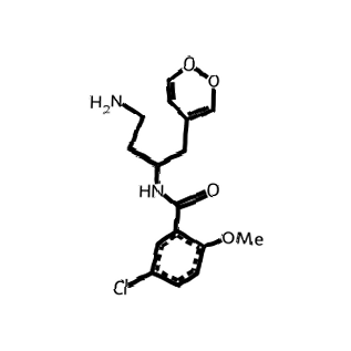 COc1ccc(Cl)cc1C(=O)NC(CCN)CC1=COOC=C1